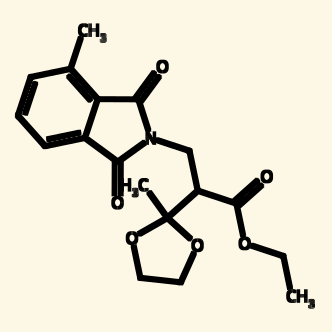 CCOC(=O)C(CN1C(=O)c2cccc(C)c2C1=O)C1(C)OCCO1